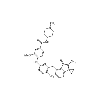 COc1cc(C(=O)NC2CCN(C)CC2)ccc1Nc1ncc(C(F)(F)F)c(Cc2cccc3c2C(=O)N(C)C32CC2)n1